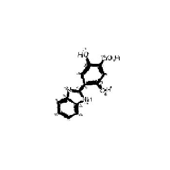 O=S(=O)(O)c1cc(O)c(-c2nc3ccccc3[nH]2)cc1O